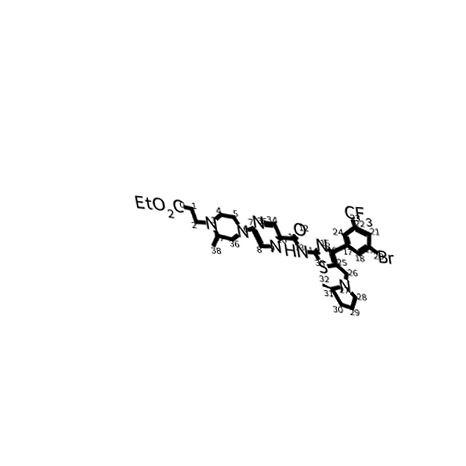 CCOC(=O)CCN1CCN(c2cnc(C(=O)Nc3nc(-c4cc(Br)cc(C(F)(F)F)c4)c(CN4CCC[C@H]4C)s3)cn2)CC1C